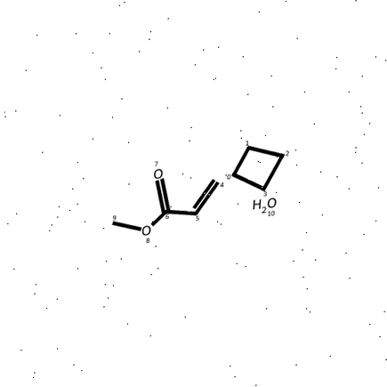 C1CCC1.C=CC(=O)OC.O